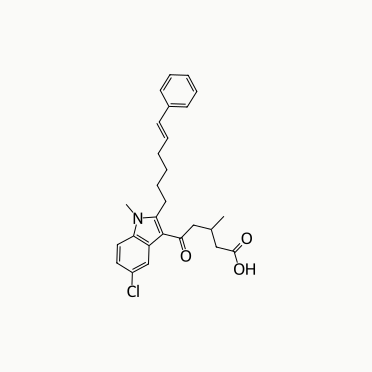 CC(CC(=O)O)CC(=O)c1c(CCCC/C=C/c2ccccc2)n(C)c2ccc(Cl)cc12